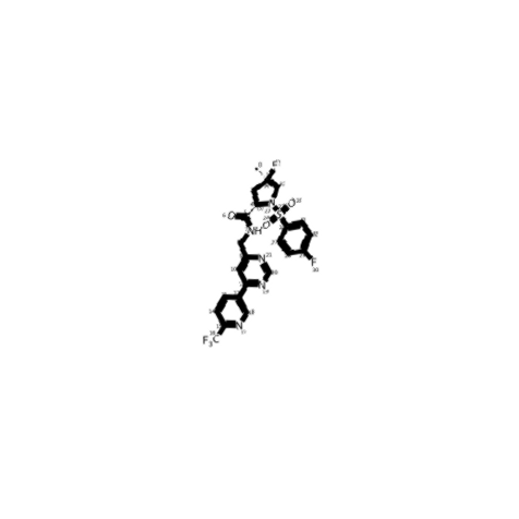 C[C@@]1(F)C[C@@H](C(=O)NCc2cc(-c3ccc(C(F)(F)F)nc3)ncn2)N(S(=O)(=O)c2ccc(F)cc2)C1